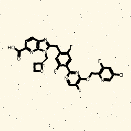 O=C(O)c1ccc2nc(Cc3cc(F)c(-c4ncc(F)c(OCc5ncc(Cl)cc5F)n4)cc3F)n(C[C@@H]3CCO3)c2n1